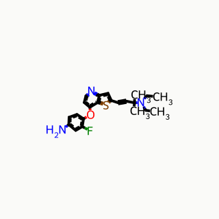 CCN(CC)C(C)(C)C#Cc1cc2nccc(Oc3ccc(N)cc3F)c2s1